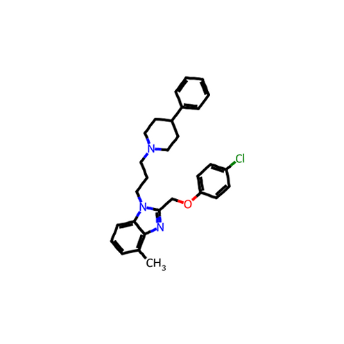 Cc1cccc2c1nc(COc1ccc(Cl)cc1)n2CCCN1CCC(c2ccccc2)CC1